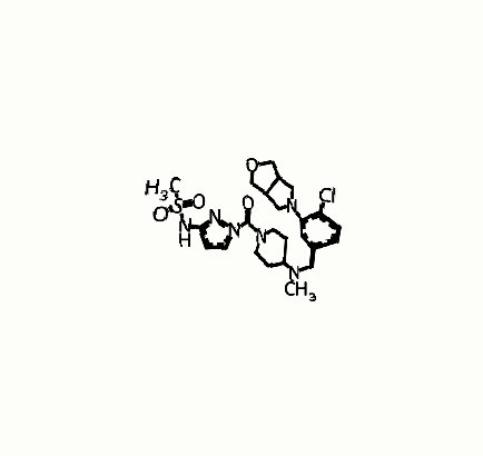 CN(Cc1ccc(Cl)c(N2CC3COCC3C2)c1)C1CCN(C(=O)n2ccc(NS(C)(=O)=O)n2)CC1